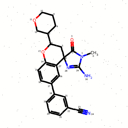 CN1C(=O)C2(CC(C3CCCOC3)Oc3ccc(-c4cccc(C#N)c4)cc32)N=C1N